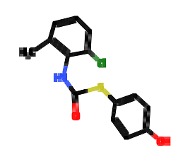 Cc1cccc(Cl)c1NC(=O)Sc1ccc(O)cc1